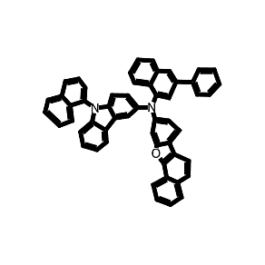 c1ccc(-c2cc(N(c3ccc4c(c3)oc3c5ccccc5ccc43)c3ccc4c(c3)c3ccccc3n4-c3cccc4ccccc34)c3ccccc3c2)cc1